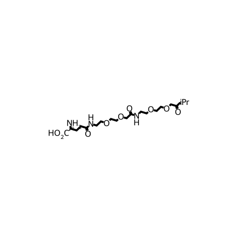 CC(C)C(=O)COCCOCCNC(=O)COCCOCCNC(=O)CC[C@@H](N)C(=O)O